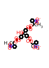 CC(COC(=O)Oc1ccc(C(O)(c2ccc(OC(=O)OCC(C)c3ccccc3[N+](=O)[O-])cc2)c2ccc(OC(=O)OCC(C)c3ccccc3[N+](=O)[O-])cc2)cc1)c1ccccc1[N+](=O)[O-]